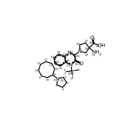 C[C@@](I)(C[C@@H]1CCCN1C1CCCCCCC1)n1c(=O)c(N2CCC(N)(C(=O)O)C2)nc2ccccc21